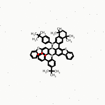 CC(C)(C)c1ccc(N2B3c4cc5oc6ccccc6c5cc4N(c4ccc(C(C)(C)C)cc4-c4ccccc4)c4cc5c(sc6ccccc65)c(c43)-c3cc4c(cc32)C(C)(C)CCC4(C)C)cc1